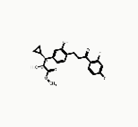 COC(=O)[C@@H](C)[C@H](c1ccc(CCC(=O)c2ccc(Cl)cc2F)c(O)c1)C1CC1